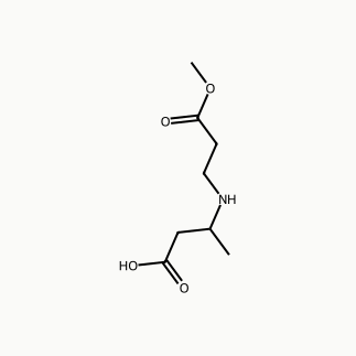 COC(=O)CCNC(C)CC(=O)O